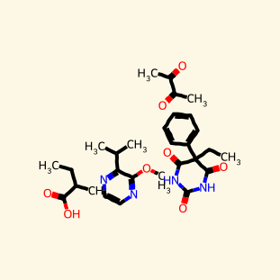 CC(=O)C(C)=O.CCC(C)C(=O)O.CCC1(c2ccccc2)C(=O)NC(=O)NC1=O.COc1nccnc1C(C)C